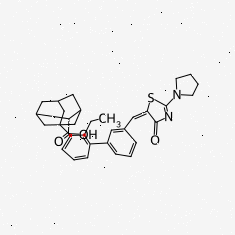 CCc1c(-c2cccc(C=C3SC(N4CCCC4)=NC3=O)c2)cccc1C12CC3CC(C1)C(C(=O)O)C(C3)C2